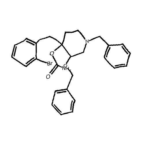 NC(=O)OC1(Cc2ccccc2Br)CCN(Cc2ccccc2)CC1OCc1ccccc1